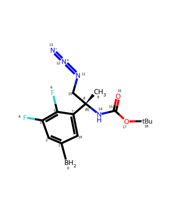 Bc1cc(F)c(F)c([C@](C)(CN=[N+]=[N-])NC(=O)OC(C)(C)C)c1